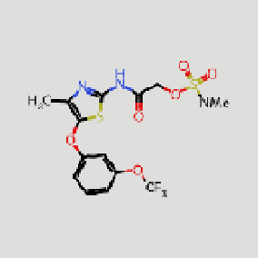 CNS(=O)(=O)OCC(=O)Nc1nc(C)c(Oc2cccc(OC(F)(F)F)c2)s1